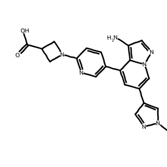 Cn1cc(-c2cc(-c3ccc(N4CC(C(=O)O)C4)nc3)c3c(N)cnn3c2)cn1